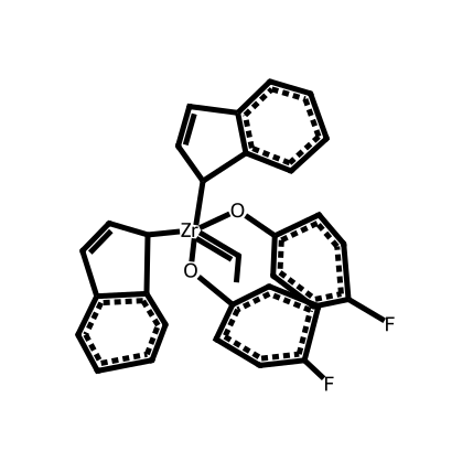 C[CH]=[Zr]([O]c1ccc(F)cc1)([O]c1ccc(F)cc1)([CH]1C=Cc2ccccc21)[CH]1C=Cc2ccccc21